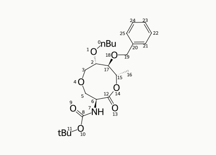 CCCCO[C@H]1COC[C@H](NC(=O)OC(C)(C)C)C(=O)O[C@@H](C)[C@@H]1OCc1ccccc1